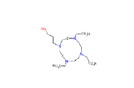 O=C(O)CN1CCN(CCCO)CCN(CC(=O)O)CCN(CC(=O)O)CC1